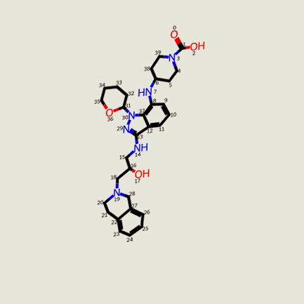 O=C(O)N1CCC(Nc2cccc3c(NCC(O)CN4CCc5ccccc5C4)nn(C4CCCCO4)c23)CC1